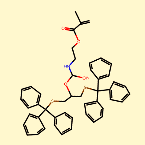 C=C(C)C(=O)OCCNC(O)OC(CSC(c1ccccc1)(c1ccccc1)c1ccccc1)CSC(c1ccccc1)(c1ccccc1)c1ccccc1